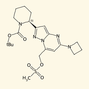 CC(C)(C)OC(=O)N1CCCC[C@H]1c1cc2nc(N3CCC3)cc(COS(C)(=O)=O)n2n1